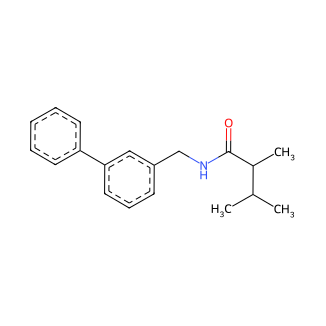 CC(C)C(C)C(=O)NCc1cccc(-c2ccccc2)c1